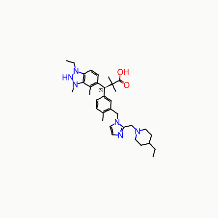 CCC1CCN(Cc2nccn2Cc2cc([C@@H](c3ccc4c(c3C)N(C)NN4CC)C(C)(C)C(=O)O)ccc2C)CC1